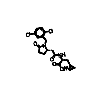 COC(=O)[C@H](CC1CC1)NC(=O)C[C@@H]1CCC(=O)N1Cc1cc(Cl)ccc1Cl